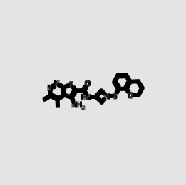 Cc1nnc2sc(C(=O)NC3CN(Sc4cccc5c4OCCC5)C3)c(N)c2c1C